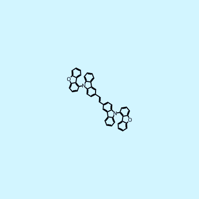 C(=C\c1ccc2c(c1)c1ccccc1n2-c1cccc2oc3ccccc3c12)/c1ccc2c(c1)c1ccccc1n2-c1cccc2oc3ccccc3c12